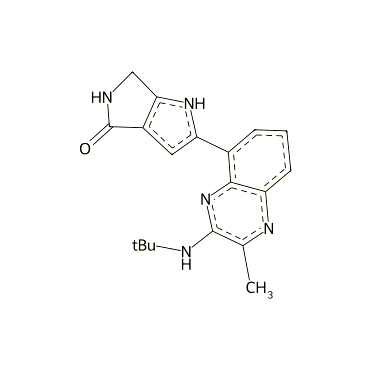 Cc1nc2cccc(-c3cc4c([nH]3)CNC4=O)c2nc1NC(C)(C)C